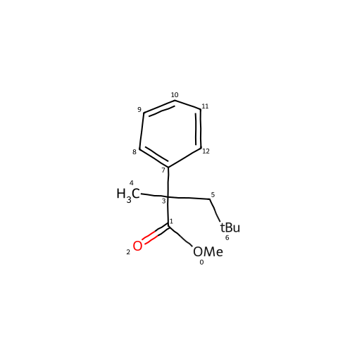 COC(=O)C(C)(CC(C)(C)C)c1ccccc1